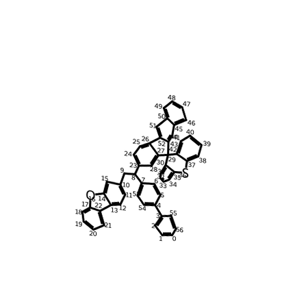 c1ccc(-c2ccc(C(Cc3ccc4c(c3)oc3ccccc34)c3ccc4c(c3)C3(c5ccccc5Sc5ccccc53)c3cc5ccccc5cc3-4)cc2)cc1